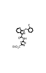 CCOC(=O)c1nnc(NC(=O)c2nn(Cc3ccccc3F)c3ncccc23)s1